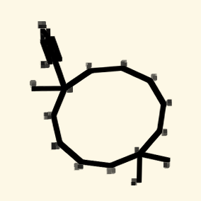 CC1(C)CCCCCC(C)(C#N)CCCC1